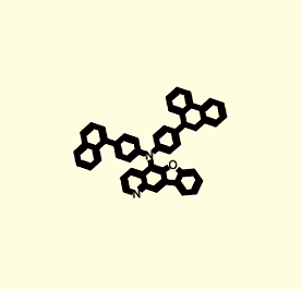 c1ccc2c(c1)CC(c1ccc(N(c3ccc(-c4cccc5ccccc45)cc3)c3c4cccnc4cc4c3oc3ccccc34)cc1)c1ccccc1-2